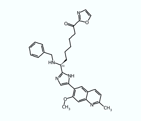 COc1cc2nc(C)ccc2cc1-c1cnc([C@H](CCCCCC(=O)c2ncco2)NCc2ccccc2)[nH]1